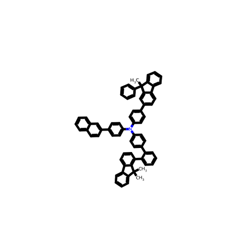 CC1(C)c2ccccc2-c2cccc(-c3ccccc3-c3ccc(N(c4ccc(-c5ccc6c(c5)C(C)(c5ccccc5)c5ccccc5-6)cc4)c4ccc(-c5ccc6ccccc6c5)cc4)cc3)c21